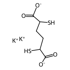 O=C([O-])C(S)CCC(S)C(=O)[O-].[K+].[K+]